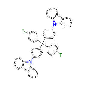 Fc1ccc(C(c2ccc(F)cc2)(c2ccc(-n3c4ccccc4c4ccccc43)cc2)c2ccc(-n3c4ccccc4c4ccccc43)cc2)cc1